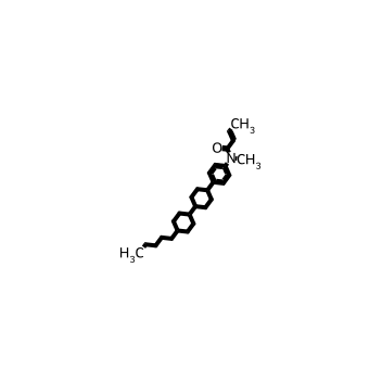 C/C=C/C(=O)N(C)c1ccc(C2CCC(C3CCC(CCCCC)CC3)CC2)cc1